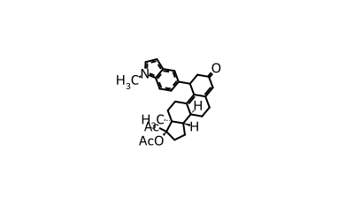 CC(=O)O[C@]1(C(C)=O)CC[C@H]2[C@@H]3CCC4=CC(=O)CC(c5ccc6c(ccn6C)c5)C4=C3CC[C@@]21C